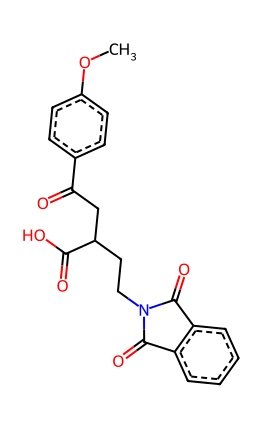 COc1ccc(C(=O)CC(CCN2C(=O)c3ccccc3C2=O)C(=O)O)cc1